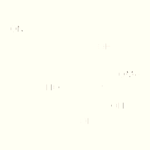 COC(O)(CO)C(O)C(O)CCN=O